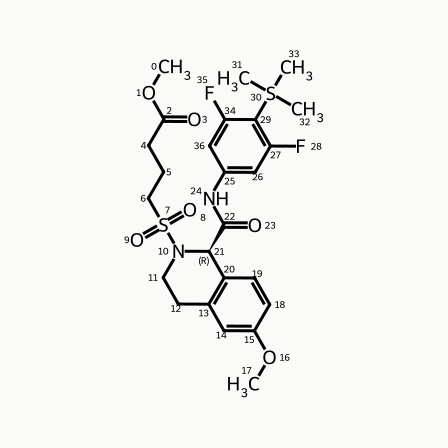 COC(=O)CCCS(=O)(=O)N1CCc2cc(OC)ccc2[C@@H]1C(=O)Nc1cc(F)c(S(C)(C)C)c(F)c1